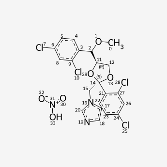 COC(c1ccc(Cl)cc1Cl)[C@H]1CO[C@@](Cn2ccnc2)(c2ccc(Cl)cc2Cl)O1.O=[N+]([O-])O